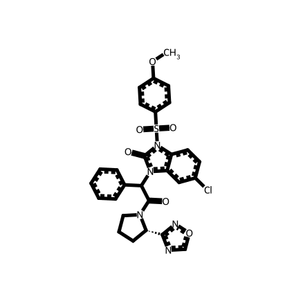 COc1ccc(S(=O)(=O)n2c(=O)n(C(C(=O)N3CCC[C@H]3c3ncon3)c3ccccc3)c3cc(Cl)ccc32)cc1